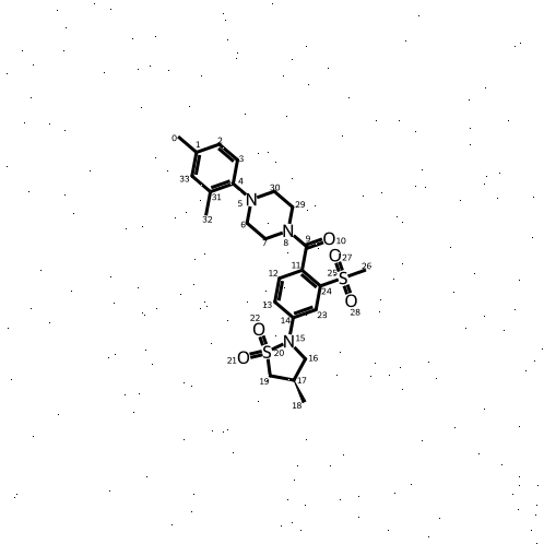 Cc1ccc(N2CCN(C(=O)c3ccc(N4C[C@@H](C)CS4(=O)=O)cc3S(C)(=O)=O)CC2)c(C)c1